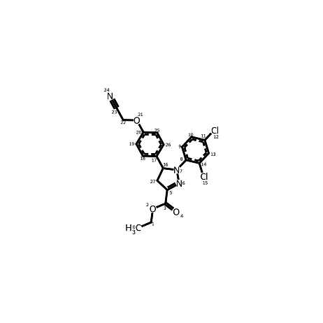 CCOC(=O)C1=NN(c2ccc(Cl)cc2Cl)C(c2ccc(OCC#N)cc2)C1